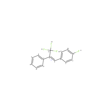 Fc1ccc(/C=C(/c2ccccc2)C(F)(F)F)cc1